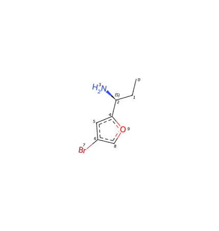 CC[C@H](N)c1cc(Br)co1